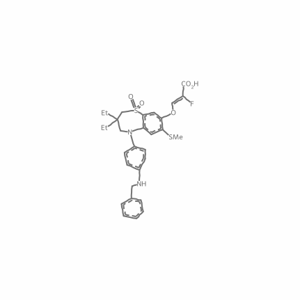 CCC1(CC)CN(c2ccc(NCc3ccccc3)cc2)c2cc(SC)c(OC=C(F)C(=O)O)cc2S(=O)(=O)C1